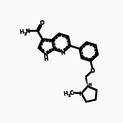 CN1CCC[C@H]1COc1cccc(-c2ccc3c(C(N)=O)c[nH]c3n2)c1